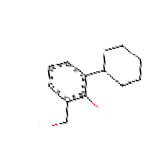 OCc1cccc(C2CCCCC2)c1O